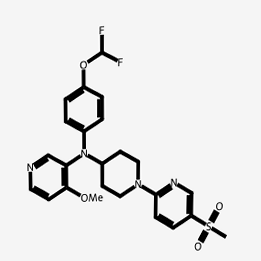 COc1ccncc1N(c1ccc(OC(F)F)cc1)C1CCN(c2ccc(S(C)(=O)=O)cn2)CC1